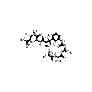 CN[C@H](C(=O)N[C@H](C(=O)N(C)[C@H](/C=C(\C)C(=O)O)C(C)C)C(C)(C)C)C(C)(C)c1cccc(NC(=O)OC(C)NC(=O)[C@H](C)NC(=O)[C@@H](N)C(C)C)c1